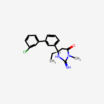 CC[C@@]1(c2cccc(-c3cccc(Cl)c3)c2)CC(=O)N(C)C(=N)N1